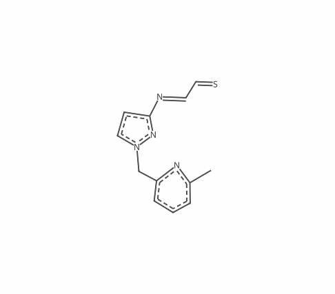 Cc1cccc(Cn2ccc(N=CC=S)n2)n1